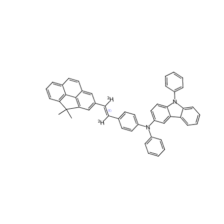 [2H]/C(=C(/[2H])c1cc2c3c(ccc4cccc(c43)C2(C)C)c1)c1ccc(N(c2ccccc2)c2ccc3c(c2)c2ccccc2n3-c2ccccc2)cc1